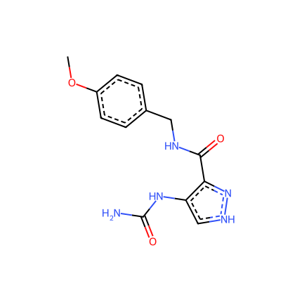 COc1ccc(CNC(=O)c2n[nH]cc2NC(N)=O)cc1